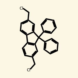 ClCc1ccc2c(c1)C(c1ccccc1)(c1ccccc1)c1cc(CCl)ccc1-2